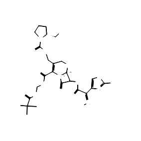 CC(C)(C)C(=O)OCOC(=O)C1=C(COC(=O)N2CCC[C@H]2CO)CS[C@@H]2C(NC(=O)/C(=N\O)c3csc(N)n3)C(=O)N12